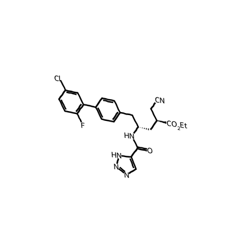 CCOC(=O)[C@H](CC#N)C[C@@H](Cc1ccc(-c2cc(Cl)ccc2F)cc1)NC(=O)c1cnn[nH]1